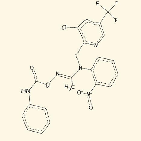 CC(=NOC(=O)Nc1ccccc1)N(Cc1ncc(C(F)(F)F)cc1Cl)c1ccccc1[N+](=O)[O-]